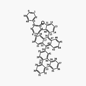 c1ccc(-c2cccc3c2oc2cccc(-c4c5ccccc5c(-c5ccc6c7ccccc7c7ccccc7c6c5)c5ccccc45)c23)cc1